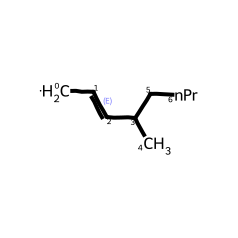 [CH2]/C=C/C(C)CCCC